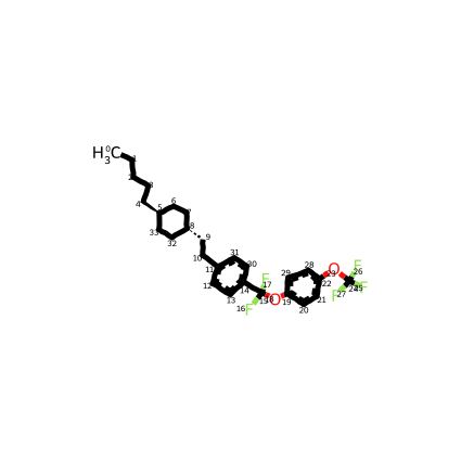 CCCCC[C@H]1CC[C@H](CCc2ccc(C(F)(F)Oc3ccc(OC(F)(F)F)cc3)cc2)CC1